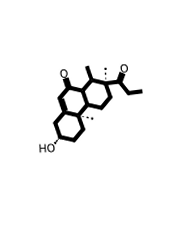 CCC(=O)[C@@]1(C)CCC2C(C(=O)C=C3C[C@@H](O)CC[C@@]32C)C1C